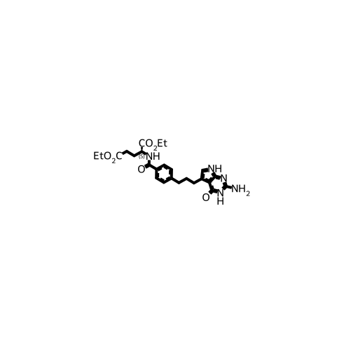 CCOC(=O)CC[C@H](NC(=O)c1ccc(CCCc2c[nH]c3nc(N)[nH]c(=O)c23)cc1)C(=O)OCC